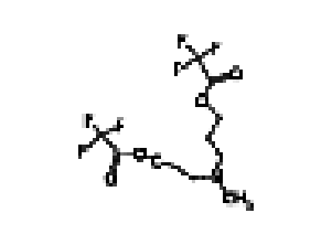 CN(CCCOC(=O)C(F)(F)F)CCCOC(=O)C(F)(F)F